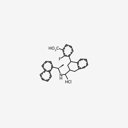 CC(N[C@H](C)c1cccc2ccccc12)C1Cc2ccccc2C(c2cccc(C(=O)O)c2F)C1.Cl